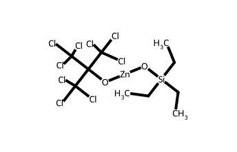 CC[Si](CC)(CC)[O][Zn][O]C(C(Cl)(Cl)Cl)(C(Cl)(Cl)Cl)C(Cl)(Cl)Cl